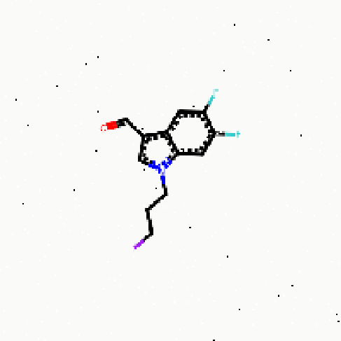 O=Cc1cn(CCCI)c2cc(F)c(F)cc12